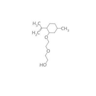 C=C(C)C1CCC(C)CC1OCCOCCO